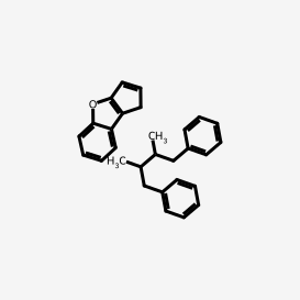 C1=Cc2oc3ccccc3c2C1.CC(Cc1ccccc1)C(C)Cc1ccccc1